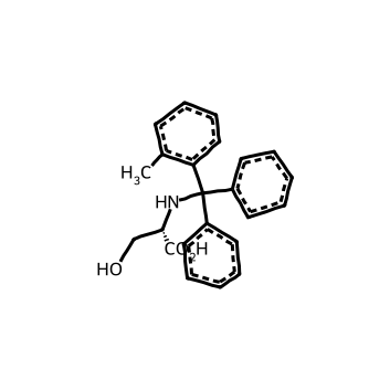 Cc1ccccc1C(N[C@@H](CO)C(=O)O)(c1ccccc1)c1ccccc1